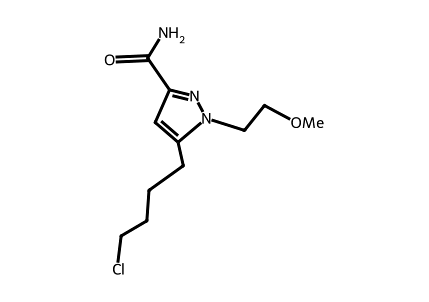 COCCn1nc(C(N)=O)cc1CCCCCl